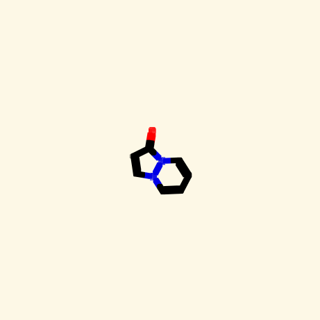 O=c1[c]cn2ccccn12